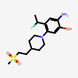 CC(F)c1cc(N)c(O)cc1N1CCC(CCS(C)(=O)=O)CC1